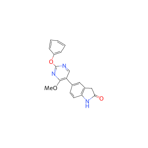 COc1nc(Oc2ccccc2)ncc1-c1ccc2c(c1)CC(=O)N2